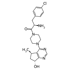 C[C@@H]1C[C@@H](O)c2ncnc(N3CCN(C(=O)[C@H](N)Cc4ccc(Cl)cc4)CC3)c21